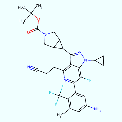 Cc1cc(N)cc(-c2nc(CCC#N)c3c(C4C5CN(C(=O)OC(C)(C)C)CC54)nn(C4CC4)c3c2F)c1C(F)(F)F